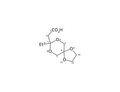 CCC1(CC(=O)O)OCC2(CO1)OCCO2